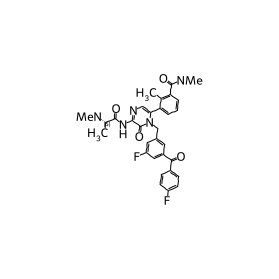 CNC(=O)c1cccc(-c2cnc(NC(=O)[C@H](C)NC)c(=O)n2Cc2cc(F)cc(C(=O)c3ccc(F)cc3)c2)c1C